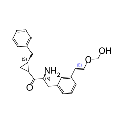 N[C@@H](Cc1cccc(/C=C/OCO)c1)C(=O)C1C[C@H]1Cc1ccccc1